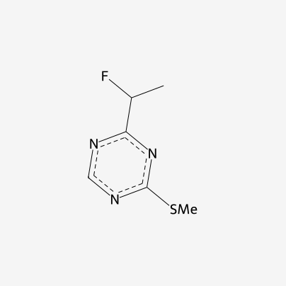 CSc1ncnc(C(C)F)n1